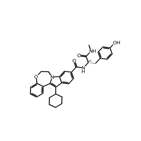 CNC(=O)[C@H](Cc1ccc(O)cc1)NC(=O)c1ccc2c(C3CCCCC3)c3n(c2c1)CCOc1ccccc1-3